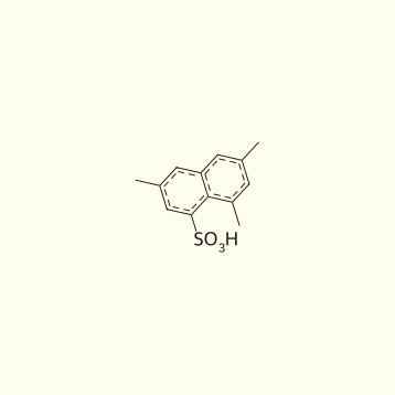 Cc1cc(C)c2c(S(=O)(=O)O)cc(C)cc2c1